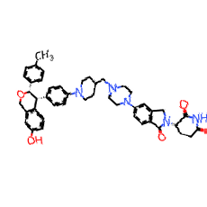 Cc1ccc([C@H]2OCc3cc(O)ccc3[C@H]2c2ccc(N3CCC(CN4CCN(c5ccc6c(c5)CN([C@H]5CCC(=O)NC5=O)C6=O)CC4)CC3)cc2)cc1